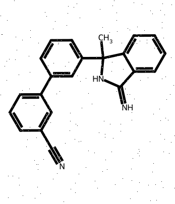 CC1(c2cccc(-c3cccc(C#N)c3)c2)NC(=N)c2ccccc21